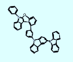 c1ccc(-n2c3ccccc3c3c4c(-c5cccc(-n6c7ccccc7c7cc(-n8c9ccccc9c9ccccc98)ccc76)c5)cccc4oc32)cc1